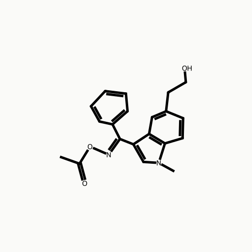 CC(=O)O/N=C(\c1ccccc1)c1cn(C)c2ccc(CCO)cc12